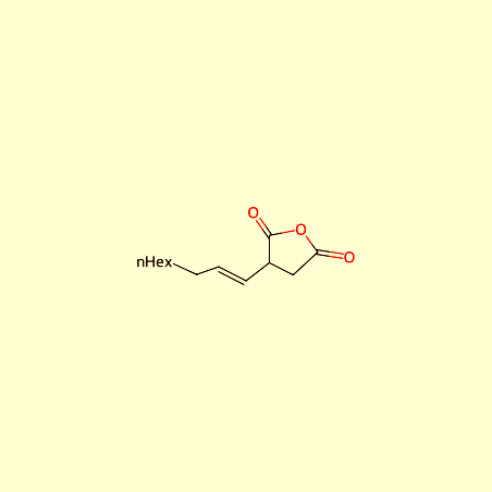 CCCCCCCC=CC1CC(=O)OC1=O